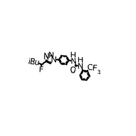 CCC(C)C(F)c1cn(-c2ccc(NC(=O)Nc3ccccc3C(F)(F)F)cc2)nn1